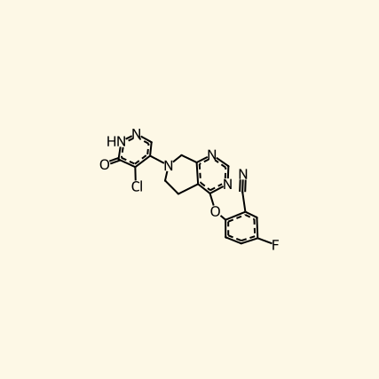 N#Cc1cc(F)ccc1Oc1ncnc2c1CCN(c1cn[nH]c(=O)c1Cl)C2